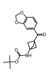 CC(C)(C)OC(=O)NC12CC(C(=O)c3ccc4c(c3)OCO4)(C1)C2